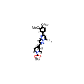 COc1ccc(-c2cc(C(F)(F)F)n3nc(C4C5CCN(C(=O)OC(C)(C)C)C(C)[C@@H]54)cc3n2)cc1OC